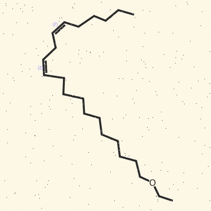 C[CH]OCCCCCCCCCC/C=C\C/C=C\CCCCC